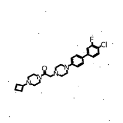 O=C(CN1CCN(c2ccc(-c3ccc(Cl)c(F)c3)cc2)CC1)N1CCN(C2CCC2)CC1